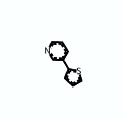 [c]1csc(-c2cccnc2)c1